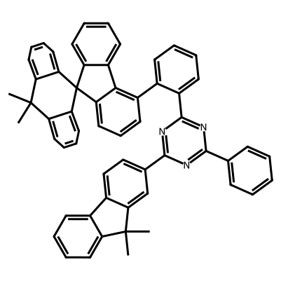 CC1(C)c2ccccc2-c2ccc(-c3nc(-c4ccccc4)nc(-c4ccccc4-c4cccc5c4-c4ccccc4C54c5ccccc5C(C)(C)c5ccccc54)n3)cc21